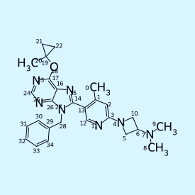 Cc1cc(N2CC(N(C)C)C2)ncc1-c1nc2c(OC3(C)CC3)ncnc2n1Cc1ccccc1